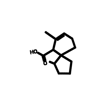 CC1=CCCC2(CCCC2C)C1C(=O)O